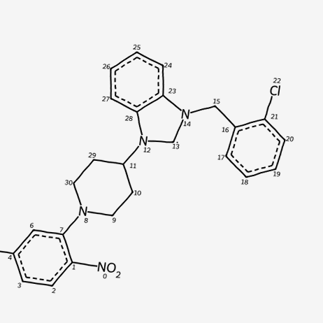 O=[N+]([O-])c1ccc(Cl)cc1N1CCC(N2[CH]N(Cc3ccccc3Cl)c3ccccc32)CC1